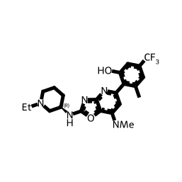 CCN1CCC[C@@H](Nc2nc3nc(-c4c(C)cc(C(F)(F)F)cc4O)cc(NC)c3o2)C1